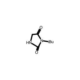 CCC(C)N1C(=O)CNC1=O